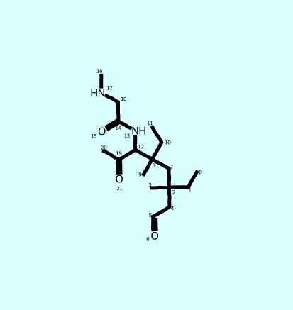 CCC(C)(CC=O)CC(C)(CC)C(NC(=O)CNC)C(C)=O